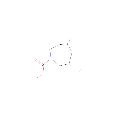 COC1CC(O)CCN(C(=O)OC(C)(C)C)C1